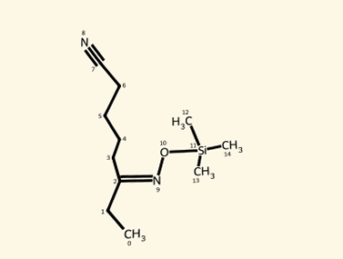 CCC(CCCCC#N)=NO[Si](C)(C)C